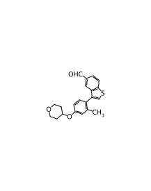 Cc1cc(OC2CCOCC2)ccc1-c1csc2ccc(C=O)cc12